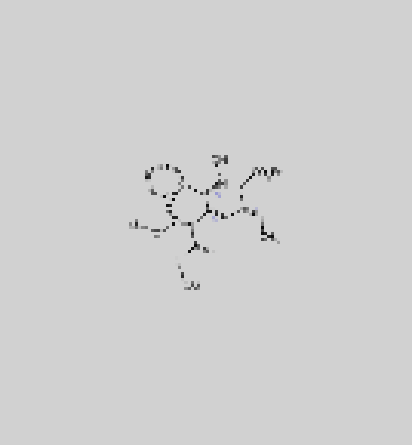 C\C=C(/C=C(\C(=N\O)c1ccccc1)N(C(=O)OC(C)(C)C)C(=O)OC(C)(C)C)CC(=O)OCC